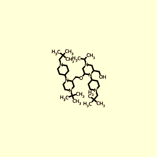 CC(C)N1CC(CO)N(C2CCN(CC(C)(C)C)CC2)C(OC[C@H]2CN(C(C)(C)C)CCN2C2CCN(CC(C)(C)C)CC2)C1